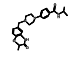 CC(C)NC(=O)c1ccc(N2CCN(Cc3ccc4c(c3)NC(=O)C(C)O4)CC2)cc1